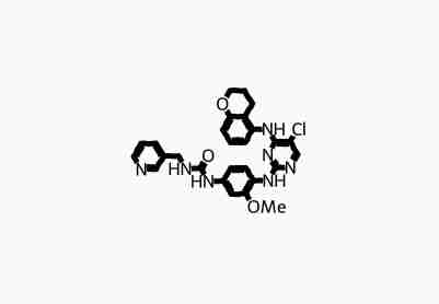 COc1cc(NC(=O)NCc2cccnc2)ccc1Nc1ncc(Cl)c(Nc2cccc3c2CCCO3)n1